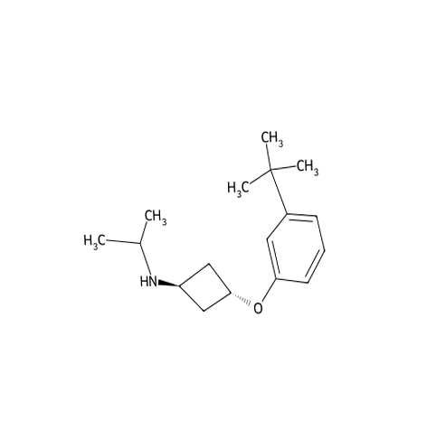 CC(C)N[C@H]1C[C@H](Oc2cccc(C(C)(C)C)c2)C1